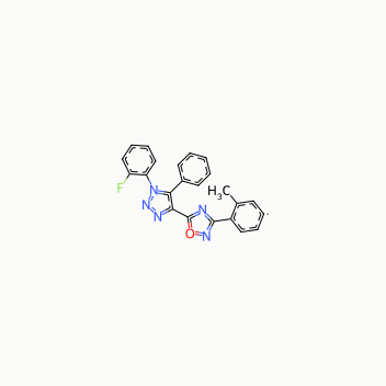 Cc1c[c]ccc1-c1noc(-c2nnn(-c3ccccc3F)c2-c2ccccc2)n1